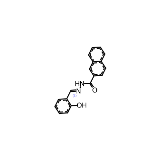 O=C(N/N=C/c1ccccc1O)c1ccc2ccccc2c1